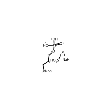 CCCCCCCCCCCCOP(=O)(O)O.O=S(=O)(O)O.[NaH]